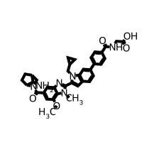 COc1cc(C(=O)N2CC3CCC2C3N)cc2nc(-c3cc4ccc(-c5ccc(C(=O)NCC(=O)O)cc5)cc4n3CC3CC3)n(C)c12